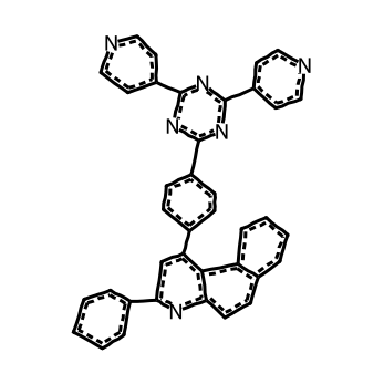 c1ccc(-c2cc(-c3ccc(-c4nc(-c5ccncc5)nc(-c5ccncc5)n4)cc3)c3c(ccc4ccccc43)n2)cc1